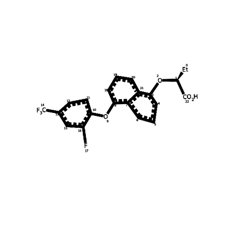 CC[C@H](Oc1cccc2c(Oc3ccc(C(F)(F)F)cc3F)cccc12)C(=O)O